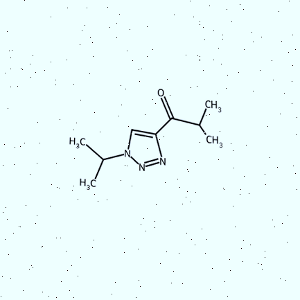 CC(C)C(=O)c1cn(C(C)C)nn1